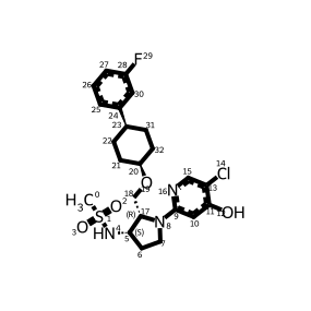 CS(=O)(=O)N[C@H]1CCN(c2cc(O)c(Cl)cn2)[C@H]1CO[C@H]1CC[C@@H](c2cccc(F)c2)CC1